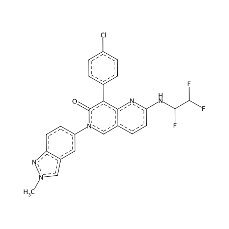 Cn1cc2cc(-n3cc4ccc(NC(F)C(F)F)nc4c(-c4ccc(Cl)cc4)c3=O)ccc2n1